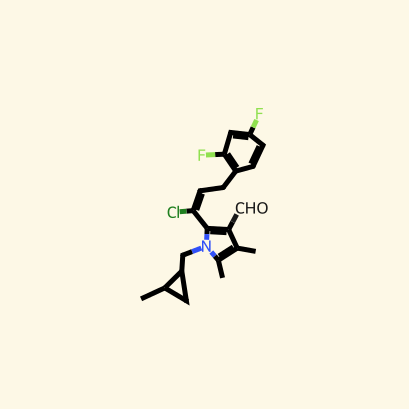 Cc1c(C=O)c(/C(Cl)=C\Cc2ccc(F)cc2F)n(CC2CC2C)c1C